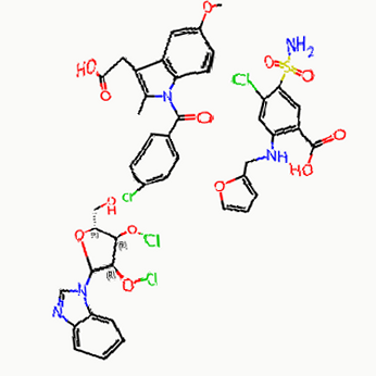 COc1ccc2c(c1)c(CC(=O)O)c(C)n2C(=O)c1ccc(Cl)cc1.NS(=O)(=O)c1cc(C(=O)O)c(NCc2ccco2)cc1Cl.OC[C@H]1OC(n2cnc3ccccc32)[C@H](OCl)[C@@H]1OCl